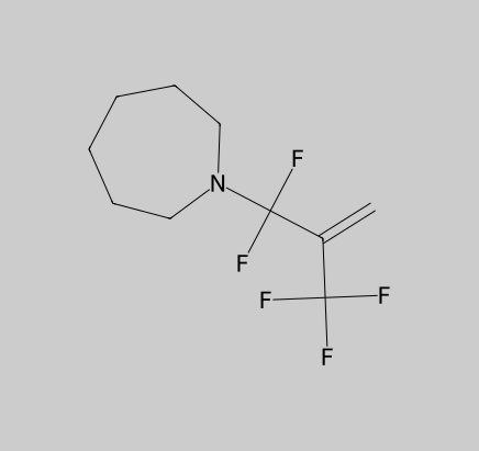 C=C(C(F)(F)F)C(F)(F)N1CCCCCC1